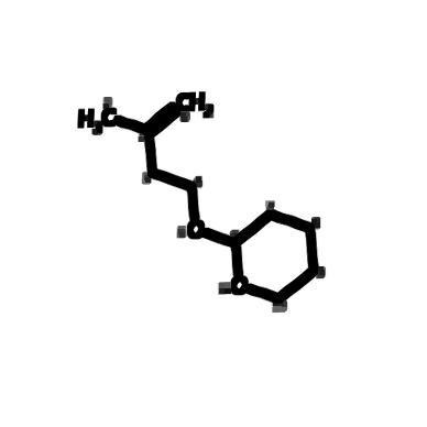 C=C(C)CCOC1CCCCO1